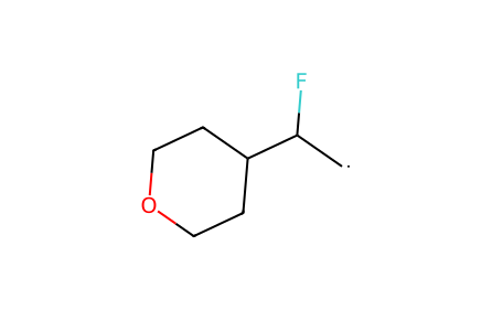 [CH2]C(F)C1CCOCC1